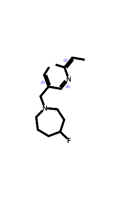 C\C=C(/C=N\C(C)=C/C)CN1CCCC(F)CC1